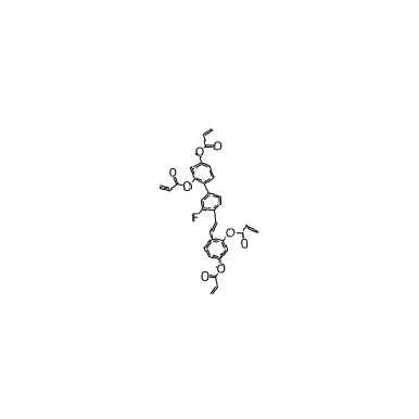 C=CC(=O)Oc1ccc(/C=C/c2ccc(-c3ccc(OC(=O)C=C)cc3OC(=O)C=C)cc2F)c(OC(=O)C=C)c1